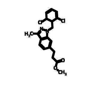 COC(=O)CCc1ccc2c(C)nn(CC3C(Cl)=CC=CC3Cl)c2c1